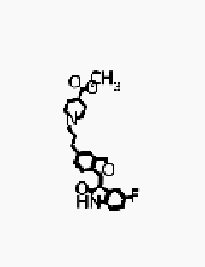 COC(=O)C1CCN(CCCc2ccc3c(c2)COC3=C2C(=O)Nc3ccc(F)cc32)CC1